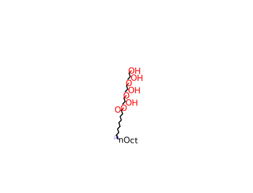 CCCCCCCC/C=C\CCCCCCCC(=O)OCC(O)COCC(O)COCC(O)CO